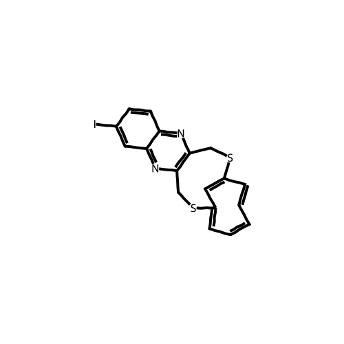 Ic1ccc2nc3c(nc2c1)CSC1=C\C=C/C=C/C(=C\1)SC3